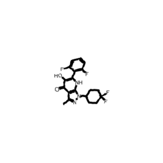 Cc1nn(C2CCC(F)(F)CC2)c2[nH]c(-c3c(F)cccc3F)c(O)c(=O)c12